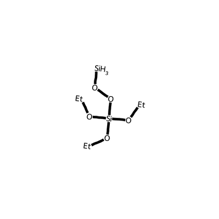 CCO[Si](OCC)(OCC)OO[SiH3]